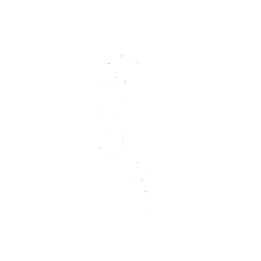 O=C(c1ccc(-c2cc(Cl)c(CC3CCN(C4CCOCC4)C3=O)c(Cl)c2)cc1)N1CCS(=O)(=O)CC1